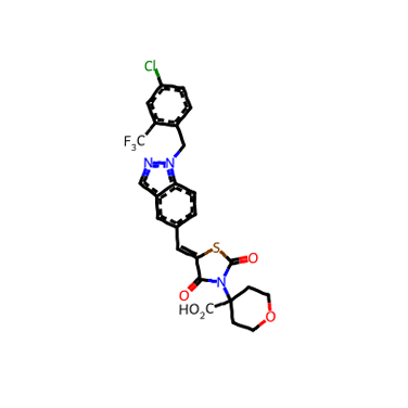 O=C1S/C(=C\c2ccc3c(cnn3Cc3ccc(Cl)cc3C(F)(F)F)c2)C(=O)N1C1(C(=O)O)CCOCC1